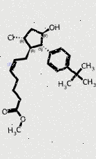 COC(=O)CCC/C=C\C[C@@H]1[C@@H](c2ccc(C(C)(C)C)cc2)[C@H](O)C[C@H]1Cl